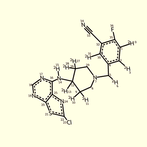 [2H]c1c([2H])c(C([2H])N2CC([2H])([2H])C([2H])(N([2H])c3ncnc4sc(Cl)nc34)C([2H])([2H])C2)c([2H])c(C#N)c1F